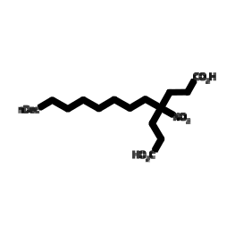 CCCCCCCCCCCCCCCCCC(CCC(=O)O)(CCC(=O)O)[N+](=O)[O-]